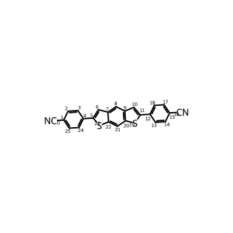 N#Cc1ccc(-c2cc3cc4cc(-c5ccc(C#N)cc5)sc4cc3s2)cc1